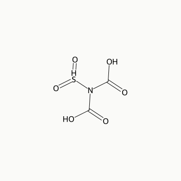 O=C(O)N(C(=O)O)[SH](=O)=O